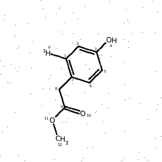 [3H]c1cc(O)ccc1CC(=O)OC